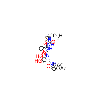 CC(=O)Oc1cccc(C(=O)NCCCCN(CC(=O)N[C@@H](C(=O)N[C@@H]2C(=O)N3C2SC(C)(C)[C@@H]3C(=O)O)c2ccccc2)C(=O)c2cccc(O)c2O)c1OC(C)=O